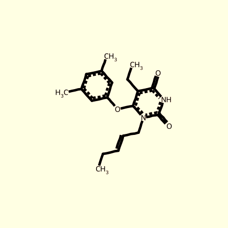 CCC=CCn1c(Oc2cc(C)cc(C)c2)c(CC)c(=O)[nH]c1=O